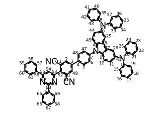 N#Cc1cc(-c2ccc(-n3c4ccc(N(c5ccccc5)c5ccccc5)cc4c4cc(N(c5ccccc5)c5ccccc5)ccc43)cc2)cc(C#N)c1-c1cc(-c2ccccc2)nc(-c2ccccc2)n1